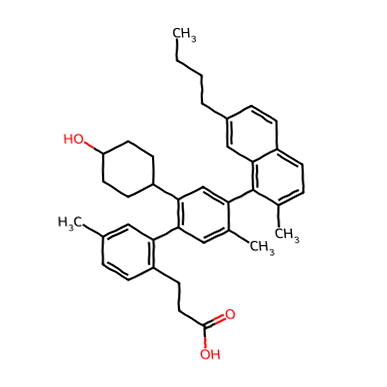 CCCCc1ccc2ccc(C)c(-c3cc(C4CCC(O)CC4)c(-c4cc(C)ccc4CCC(=O)O)cc3C)c2c1